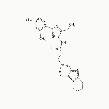 CCc1nc(-c2ccc(Cl)cc2C)sc1NC(=O)OCc1ccc2c(c1)nc1n2CCCC1